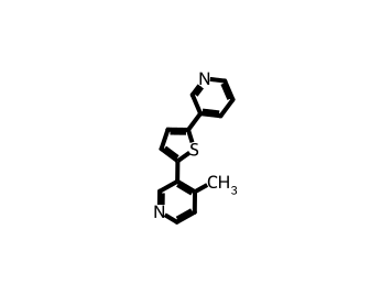 Cc1ccncc1-c1ccc(-c2cccnc2)s1